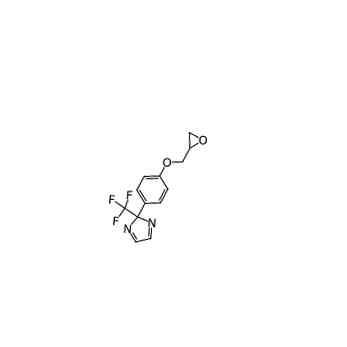 FC(F)(F)C1(c2ccc(OCC3CO3)cc2)N=CC=N1